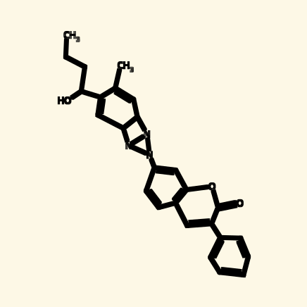 CCCC(O)C1=CC2C(C=C1C)n1n(-c3ccc4cc(-c5ccccc5)c(=O)oc4c3)n12